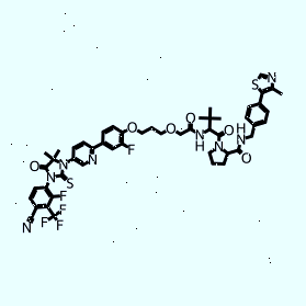 Cc1ncsc1-c1ccc(CNC(=O)C2CCCN2C(=O)C(NC(=O)COCCCOc2ccc(-c3ccc(N4C(=S)N(c5ccc(C#N)c(C(F)(F)F)c5F)C(=O)C4(C)C)cn3)cc2F)C(C)(C)C)cc1